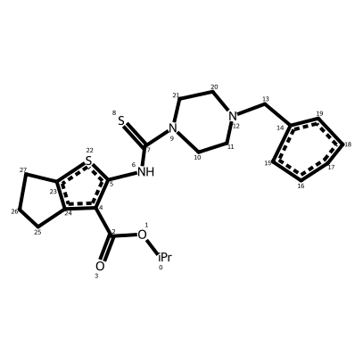 CC(C)OC(=O)c1c(NC(=S)N2CCN(Cc3ccccc3)CC2)sc2c1CCC2